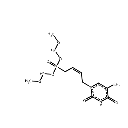 COPOP(=O)(C/C=C\Cn1cc(C)c(=O)[nH]c1=O)OPOC